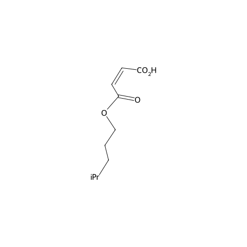 CC(C)CCCOC(=O)/C=C\C(=O)O